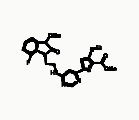 CCOc1cc(-c2cc(NCCN3C(=O)C(OC)c4cccc(F)c43)ncn2)sc1C(=O)OC